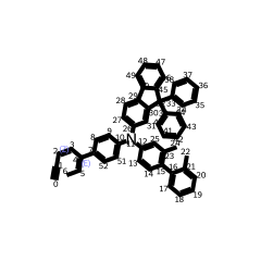 C#C/C=C\C(=C/C)c1ccc(N(c2ccc(-c3ccccc3C)c(C)c2)c2ccc3c(c2)C(c2ccccc2)(c2ccccc2)c2ccccc2-3)cc1